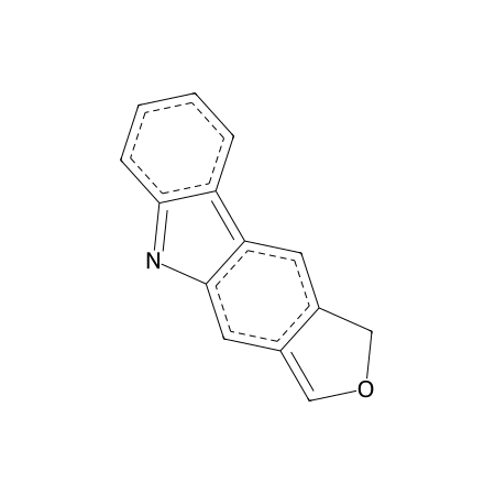 C1=c2cc3c(cc2CO1)=c1ccccc1=N3